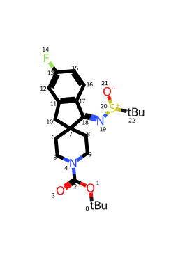 CC(C)(C)OC(=O)N1CCC2(CC1)Cc1cc(F)ccc1C2=N[S+]([O-])C(C)(C)C